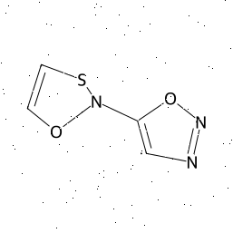 [c]1nnoc1N1OC=CS1